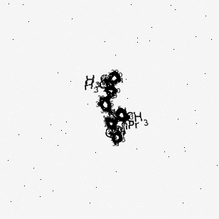 CCCc1c(C)ccc2c1c1c3c(ccc1n2C1C=C(c2ccc4c(c2)C(C)(C)c2ccccc2-4)C=CC1)OC1=CC=CC[C@@H]1O3